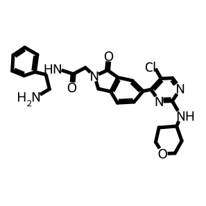 NCC(NC(=O)CN1Cc2ccc(-c3nc(NC4CCOCC4)ncc3Cl)cc2C1=O)c1ccccc1